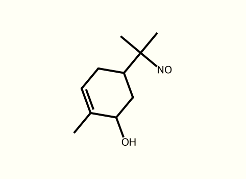 CC1=CCC(C(C)(C)N=O)CC1O